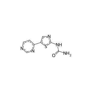 NC(=O)Nc1ncc(-c2ccncn2)s1